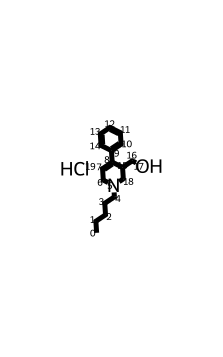 CCCCCN1CC=C(c2ccccc2)C(CO)C1.Cl